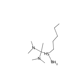 B[SH](CCCCC)C(C)(N(C)C)N(C)C